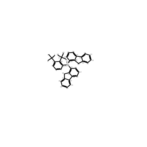 CC(C)(C)c1cccc([SiH](c2cccc3c2Cc2ccccc2-3)c2cccc3c2Cc2ccccc2-3)c1C(C)(C)C